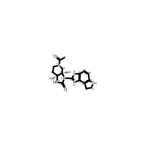 CC(=O)N1CC[C@@H]2NC(=O)N(c3nc4c5c(ccc4s3)OCC5)[C@@H]2C1